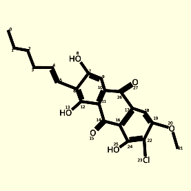 CCCCC=Cc1c(O)cc2c(c1O)C(=O)c1c(cc(OC)c(Cl)c1O)C2=O